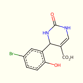 O=C1NC=C(C(=O)O)C(c2cc(Br)ccc2O)N1